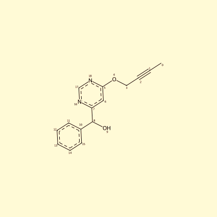 CC#CCOc1cc(C(O)c2ccccc2)ncn1